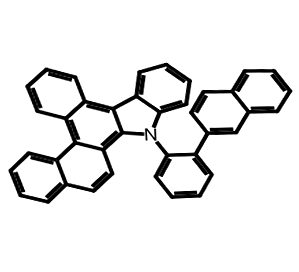 c1ccc(-n2c3ccccc3c3c4ccccc4c4c5ccccc5ccc4c32)c(-c2ccc3ccccc3c2)c1